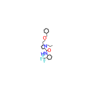 CCCn1c(CCOCc2ccccc2)ccc1C(=O)Nc1ccccc1C(F)(F)F